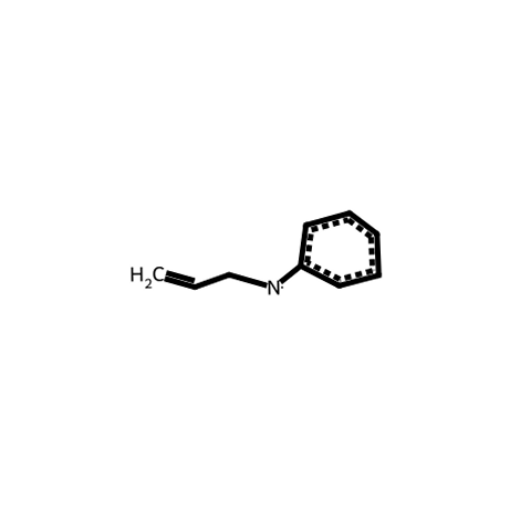 C=CC[N]c1ccccc1